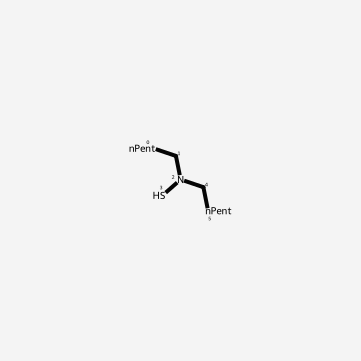 CCCCCCN(S)CCCCCC